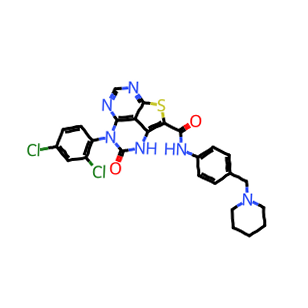 O=C(Nc1ccc(CN2CCCCC2)cc1)c1sc2ncnc3c2c1NC(=O)N3c1ccc(Cl)cc1Cl